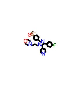 C[S+]([O-])c1ccc(-c2nc(-c3ccc(F)cc3)c(-c3ccncc3)n2CCCN2CCOCC2)cc1